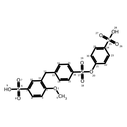 COc1ccc(S(=O)(=O)O)cc1Cc1ccc(S(=O)(=O)Oc2ccc(S(=O)(=O)O)cc2)cc1